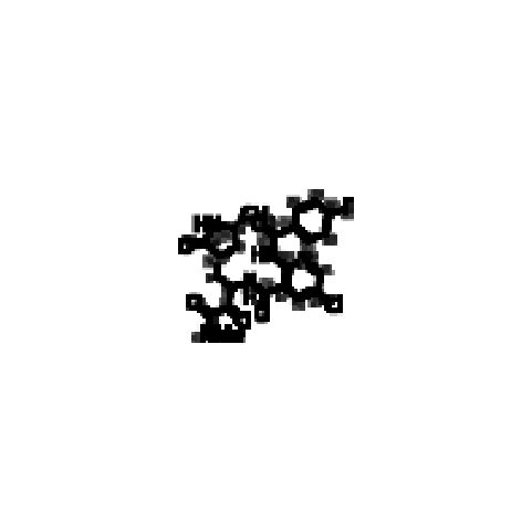 CNC(=O)C(=O)C(C[C@@H]1C[C@@H](C)NC1=O)NC(=O)c1cc(Cl)cnc1NC(=O)c1ccc(F)cc1